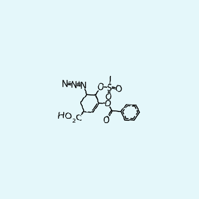 CS(=O)(=O)OC1C(OC(=O)c2ccccc2)=CC(C(=O)O)CC1N=[N+]=[N-]